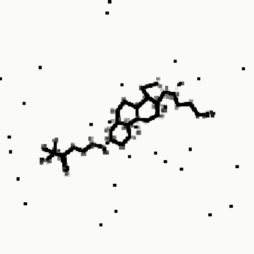 CC(C)CCC[C@@H](C)[C@H]1CCC2C3CC=C4C[C@@H](SSCCC(=O)C(C)(C)C(C)C)CC[C@]4(C)C3CC[C@@]21C